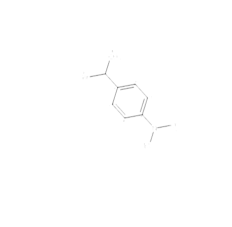 CCN(CC)c1ccc(C(C)Br)cc1